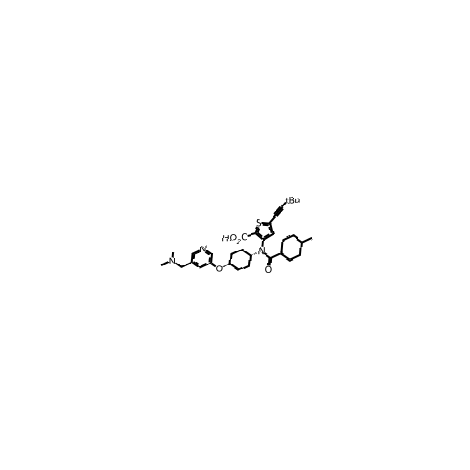 CC1CCC(C(=O)N(c2cc(C#CC(C)(C)C)sc2C(=O)O)[C@H]2CC[C@H](Oc3cncc(CN(C)C)c3)CC2)CC1